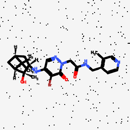 Cc1cnccc1CNC(=O)Cn1ncc(N[C@@H]2C[C@@H]3C[C@@H](C3(C)C)[C@]2(C)O)c(Br)c1=O